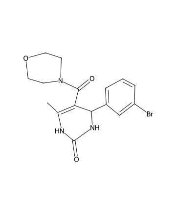 CC1=C(C(=O)N2CCOCC2)C(c2cccc(Br)c2)NC(=O)N1